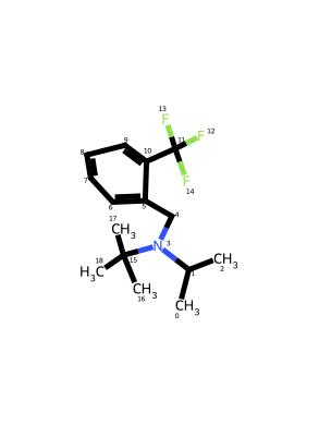 CC(C)N(Cc1ccccc1C(F)(F)F)C(C)(C)C